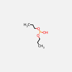 CCCOP(O)OCCC